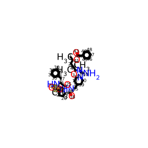 CC(CC(C)(C)C(=O)/N=C(/N)N1CCC(CNC(=O)[C@@H]2CCCN2C(=O)[C@@H](Cc2ccccc2)NS(C)(=O)=O)CC1)OC(=O)c1ccccc1